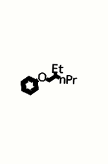 CCCC(CC)COc1ccccc1